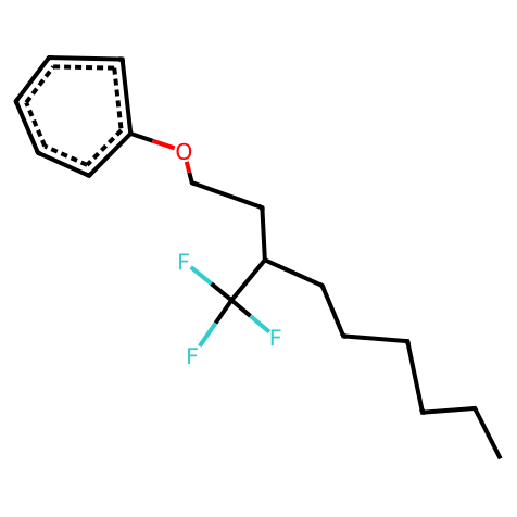 CCCCCCC(CCOc1ccccc1)C(F)(F)F